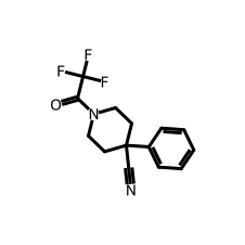 N#CC1(c2ccccc2)CCN(C(=O)C(F)(F)F)CC1